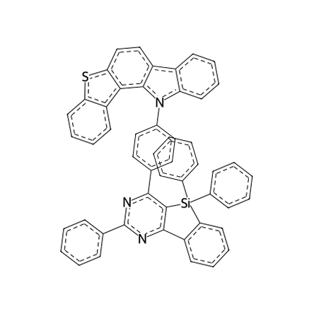 c1ccc(-c2nc(-c3ccc(-n4c5ccccc5c5ccc6sc7ccccc7c6c54)cc3)c3c(n2)-c2ccccc2[Si]3(c2ccccc2)c2ccccc2)cc1